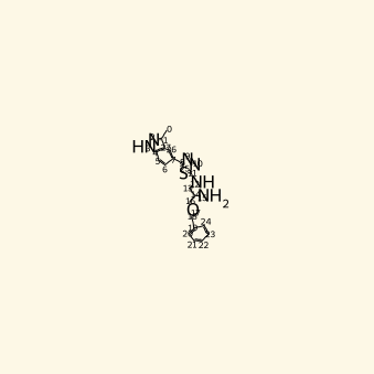 Cc1n[nH]c2ccc(-c3nnc(NCC(N)COCc4ccccc4)s3)cc12